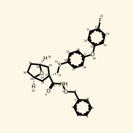 O=C(NOCc1ccccc1)[C@@]1(CSc2ccc(Oc3ccc(F)cc3)cc2)C[C@H]2CC[C@@H](C1)O2